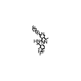 Cc1c([C@@H](C)Nc2nnc(C)c3cnc(N4CC5(CCN(C)C5)C4)cc23)cccc1C(F)(F)F